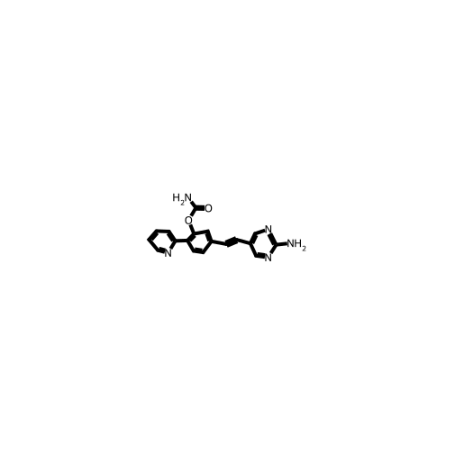 NC(=O)Oc1cc(C#Cc2cnc(N)nc2)ccc1-c1ccccn1